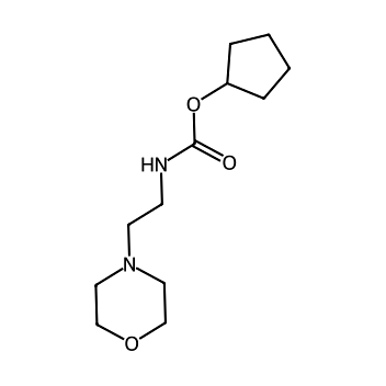 O=C(NCCN1CCOCC1)OC1CCCC1